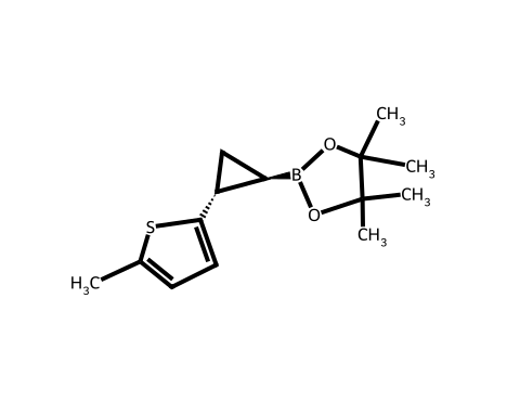 Cc1ccc([C@@H]2C[C@H]2B2OC(C)(C)C(C)(C)O2)s1